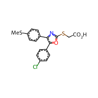 CSc1ccc(-c2nc(SCC(=O)O)oc2-c2ccc(Cl)cc2)cc1